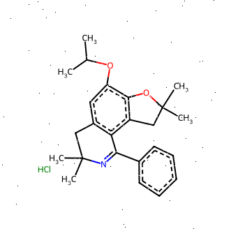 CC(C)Oc1cc2c(c3c1OC(C)(C)C3)C(c1ccccc1)=NC(C)(C)C2.Cl